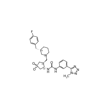 Cn1nnnc1-c1cccc(NC(=O)N[C@@H]2CS(=O)(=O)C[C@H]2CN2CCC[C@@H](Cc3ccc(F)cc3)C2)c1